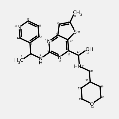 Cc1cc2nc(NC(C)c3cccnc3)nc(C(O)NCC3CCOCC3)c2s1